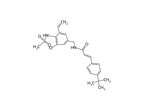 C=Cc1cc(CNC(=O)C=Cc2ccc(C(C)(C)C)cc2)cc(Cl)c1NS(C)(=O)=O